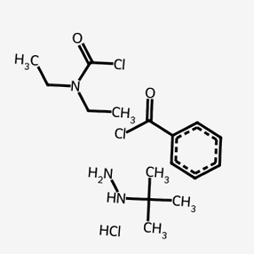 CC(C)(C)NN.CCN(CC)C(=O)Cl.Cl.O=C(Cl)c1ccccc1